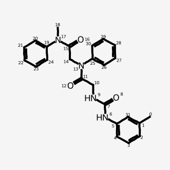 Cc1cccc(NC(=O)NCC(=O)N(CC(=O)N(C)c2ccccc2)c2ccccc2)c1